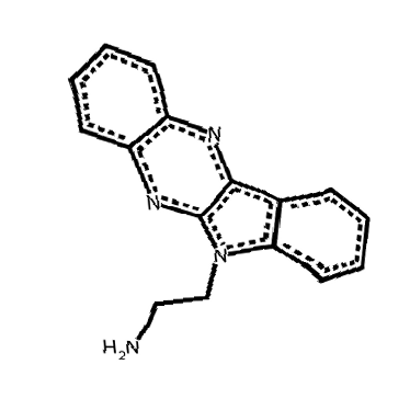 NCCn1c2ccccc2c2nc3ccccc3nc21